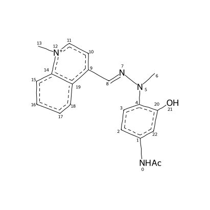 CC(=O)Nc1ccc(N(C)/N=C/c2cc[n+](C)c3ccccc23)c(O)c1